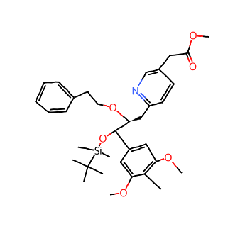 COC(=O)Cc1ccc(C[C@H](OCCc2ccccc2)C(O[Si](C)(C)C(C)(C)C)c2cc(OC)c(C)c(OC)c2)nc1